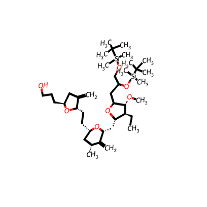 C=C1C[C@H](CCCO)O[C@H]1CC[C@H]1C[C@@H](C)C(=C)[C@@H](C[C@@H]2OC(CC(CO[Si](C)(C)C(C)(C)C)O[Si](C)(C)C(C)(C)C)[C@H](OC)[C@H]2CC)O1